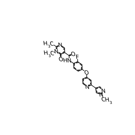 Cc1ncc(C(=O)Nc2ccc(Oc3ccnc(-c4cnn(C)c4)c3)cc2F)c(=O)n1C